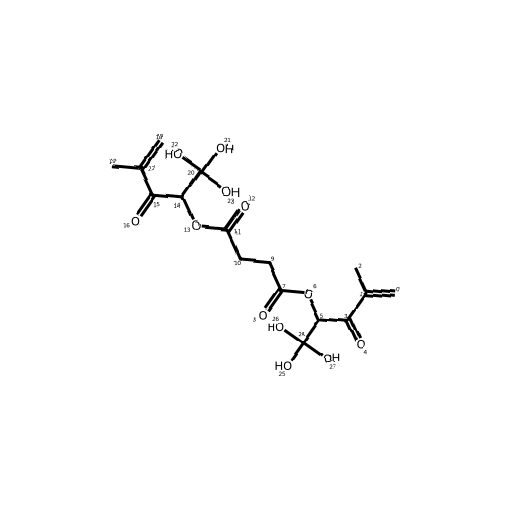 C=C(C)C(=O)C(OC(=O)CCC(=O)OC(C(=O)C(=C)C)C(O)(O)O)C(O)(O)O